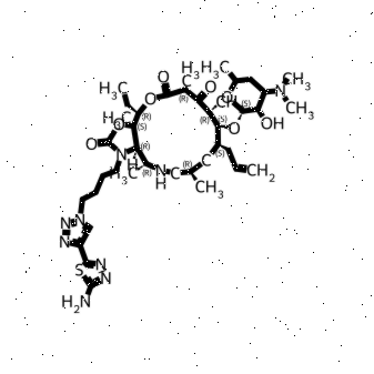 C=CC[C@H]1C[C@@H](C)CN[C@H](C)[C@H]2N(CCCCn3cc(-c4nnc(N)s4)nn3)C(=O)O[C@]2(C)[C@@H](CC)OC(=O)[C@H](C)C(=O)[C@H](C)[C@H]1O[C@@H]1OC(C)CC(N(C)C)C1O